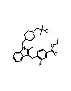 CCOC(=O)c1ccc(Cc2c(C)n(CC3CCN(CC(C)(C)O)CC3)c3ccccc23)c(F)c1